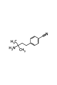 CC(C)(N)CCc1ccc(C#N)cc1